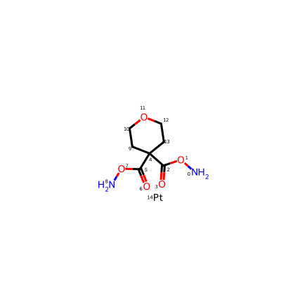 NOC(=O)C1(C(=O)ON)CCOCC1.[Pt]